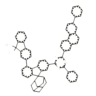 CC1(C)c2ccccc2-c2ccc(-c3cccc4c3-c3ccc(-c5nc(-c6ccccc6)nc(-c6ccc7c(ccc8cc(-c9ccccc9)ccc87)c6)n5)cc3C43C4CC5CC(C4)CC3C5)cc21